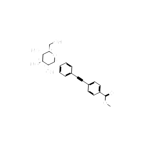 COC(=O)c1ccc(C#Cc2ccc([C@H]3O[C@H](CO)[C@@H](O)[C@H](O)[C@H]3O)cc2)cc1